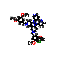 CCOc1cc(CN2CCC(N(c3cccnc3)N(c3cccnc3)C3CCN(Cc4cc(OC(C)C)cc(OC(C)C)c4)CC3)CC2)cc(OCC)c1Cl